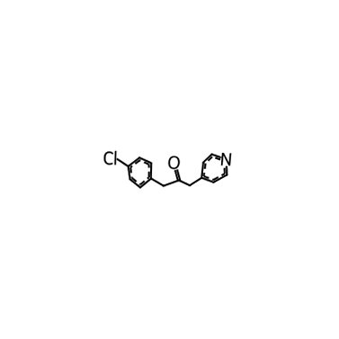 O=C(Cc1ccncc1)Cc1ccc(Cl)cc1